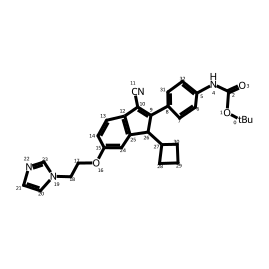 CC(C)(C)OC(=O)Nc1ccc(C2=C(C#N)c3ccc(OCCn4ccnc4)cc3C2C2CCC2)cc1